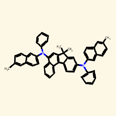 Cc1ccc2cc(N(c3ccccc3)c3ccc4c(c3)C(C)(C)c3cc(N(c5ccccc5)c5ccc6cc(C)ccc6c5)c5ccccc5c3-4)ccc2c1